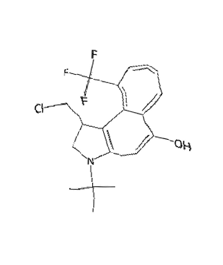 CC(C)(C)N1CC(CCl)c2c1cc(O)c1cccc(C(F)(F)F)c21